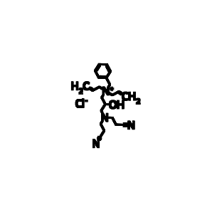 C=CC[N+](CC=C)(Cc1ccccc1)CC(O)CN(CCC#N)CCC#N.[Cl-]